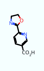 O=C(O)c1ccc(C2=NCCO2)nc1